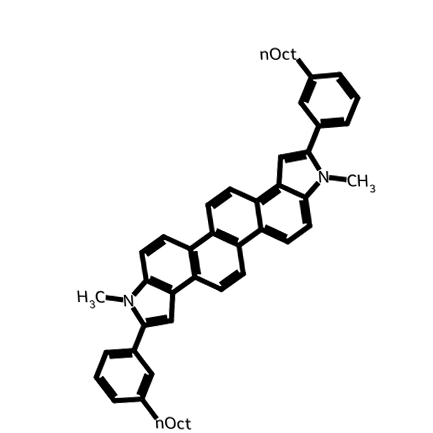 CCCCCCCCc1cccc(-c2cc3c4ccc5c(ccc6c5ccc5c6cc(-c6cccc(CCCCCCCC)c6)n5C)c4ccc3n2C)c1